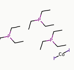 CCP(CC)CC.CCP(CC)CC.CCP(CC)CC.[I][Co][I]